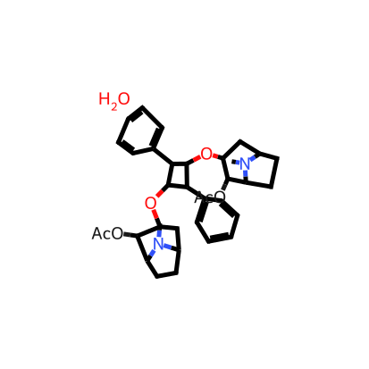 CC(=O)OC1C(OC2C(c3ccccc3)C(OC3CC4CCC(C3OC(C)=O)N4C)C2c2ccccc2)CC2CCC1N2C.O